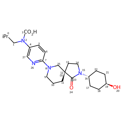 CC(C)CN(C(=O)O)c1ccc(N2CCC[C@]3(CCN([C@H]4CC[C@H](O)CC4)C3=O)C2)nc1